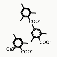 Cc1cc(C)c(C(=O)[O-])c(C)c1.Cc1cc(C)c(C(=O)[O-])c(C)c1.Cc1cc(C)c(C(=O)[O-])c(C)c1.[Ga+3]